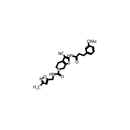 COc1cccc(CCC(=O)Nc2sc3c(c2C#N)CCN(C(=O)NCc2cc(C)no2)C3)c1